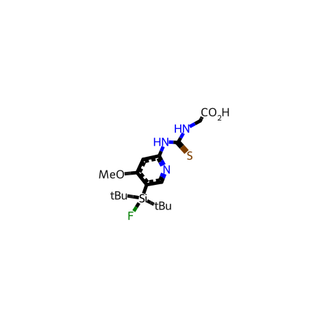 COc1cc(NC(=S)NCC(=O)O)ncc1[Si](F)(C(C)(C)C)C(C)(C)C